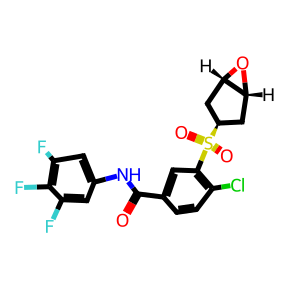 O=C(Nc1cc(F)c(F)c(F)c1)c1ccc(Cl)c(S(=O)(=O)[C@H]2C[C@@H]3O[C@@H]3C2)c1